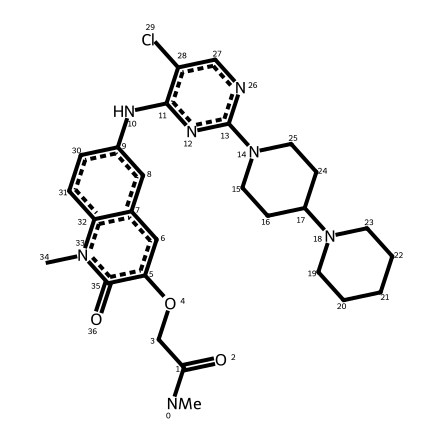 CNC(=O)COc1cc2cc(Nc3nc(N4CCC(N5CCCCC5)CC4)ncc3Cl)ccc2n(C)c1=O